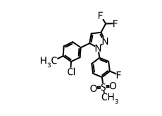 Cc1ccc(-c2cc(C(F)F)nn2-c2ccc(S(C)(=O)=O)c(F)c2)cc1Cl